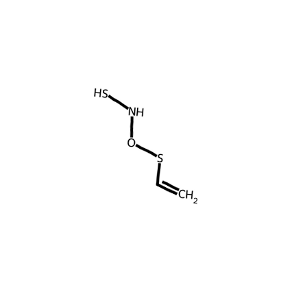 C=CSONS